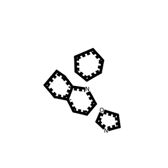 c1ccc2ncccc2c1.c1ccccc1.c1cocn1